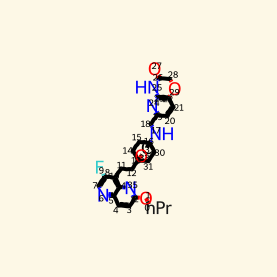 CCCOc1ccc2ncc(F)c(CCC34CCC(NCc5ccc6c(n5)NC(=O)CO6)(CC3)CO4)c2n1